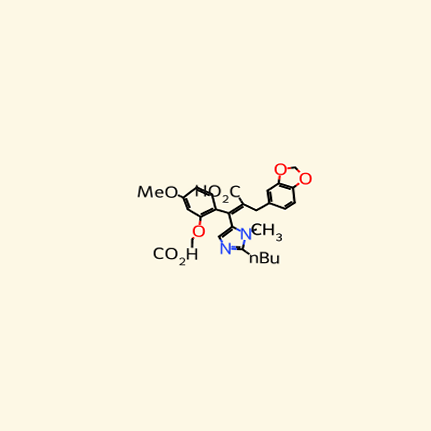 CCCCc1ncc(/C(=C(\Cc2ccc3c(c2)OCO3)C(=O)O)c2ccc(OC)cc2OCC(=O)O)n1C